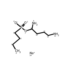 CCCCP(=O)([O-])OC(N)CCCN.[Na+]